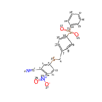 N#Cc1cc(SCc2ccc(S(=O)(=O)c3ccccc3)cc2)ccc1[N+](=O)[O-]